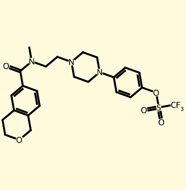 CN(CCN1CCN(c2ccc(OS(=O)(=O)C(F)(F)F)cc2)CC1)C(=O)c1ccc2c(c1)CCOC2